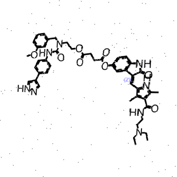 CCN(CC)CCNC(=O)c1c(C)[nH]c(/C=C2\C(=O)Nc3ccc(OC(=O)CCC(=O)OCCN(Cc4cccc(OC)c4)C(=O)Nc4ccc(-c5cn[nH]c5)cc4)cc32)c1C